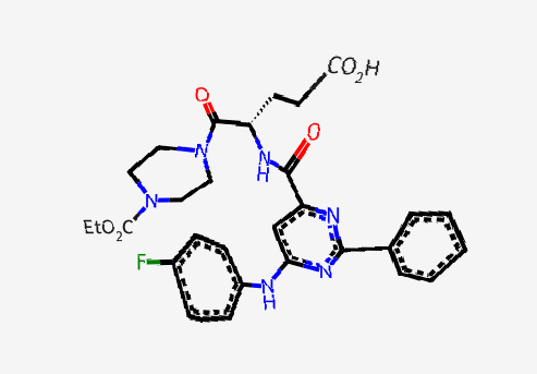 CCOC(=O)N1CCN(C(=O)[C@H](CCC(=O)O)NC(=O)c2cc(Nc3ccc(F)cc3)nc(-c3ccccc3)n2)CC1